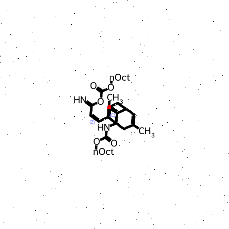 C/C=C1\C2C=C(C)CC1(NC(=O)OCCCCCCCC)C(/C=C\C(=N)OC(=O)OCCCCCCCC)=CC2